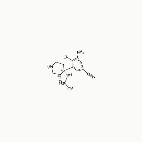 CO[C@@H]1CNCC[C@@]1(NC(=O)O)c1cc(C#N)cc(N)c1Cl